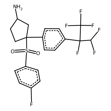 NC1CCC(c2ccc(C(F)(C(F)F)C(F)(F)F)cc2)(S(=O)(=O)c2ccc(F)cc2)C1